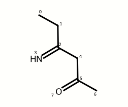 CCC(=N)CC(C)=O